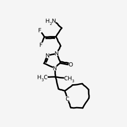 CC(C)(CC1CCCCCCC1)n1cnn(CC(CN)=C(F)F)c1=O